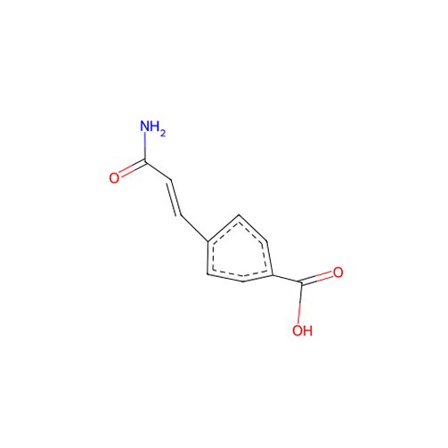 NC(=O)/C=C/c1ccc(C(=O)O)cc1